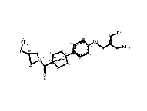 NCC(=CF)COc1ccc(C23CCC(C(=O)N4CC(OC(F)(F)F)C4)(CC2)CC3)cc1